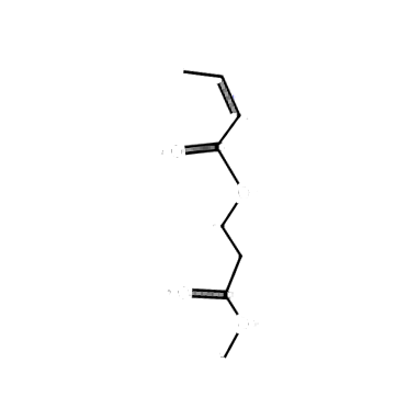 C/C=C\C(=O)OCCC(=O)OC